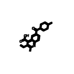 CCc1c(C)nc2ccc(C(=O)C3CCC(C)CC3)cc2c1C(=O)O